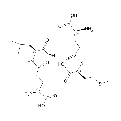 CC(C)C[C@H](NC(=O)CC[C@H](N)C(=O)O)C(=O)O.CSCC[C@H](NC(=O)CC[C@H](N)C(=O)O)C(=O)O